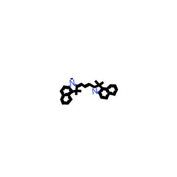 CN1/C(=C/C=C/C2=Nc3ccc4ccccc4c3C2(C)C)C(C)(C)c2c1ccc1ccccc21